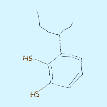 CCC(C)c1cccc(S)c1S